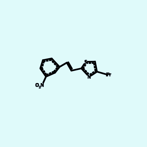 CC(C)c1csc(C=Cc2cccc([N+](=O)[O-])c2)n1